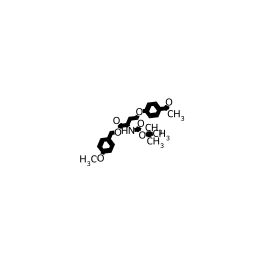 COc1ccc(COC(=O)C(CCOc2ccc(C(C)=O)cc2)NC(=O)OC(C)(C)C)cc1